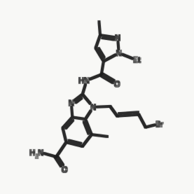 CCn1nc(C)cc1C(=O)Nc1nc2cc(C(N)=O)cc(C)c2n1C/C=C/CBr